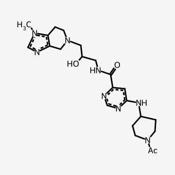 CC(=O)N1CCC(Nc2cc(C(=O)NCC(O)CN3CCc4c(ncn4C)C3)ncn2)CC1